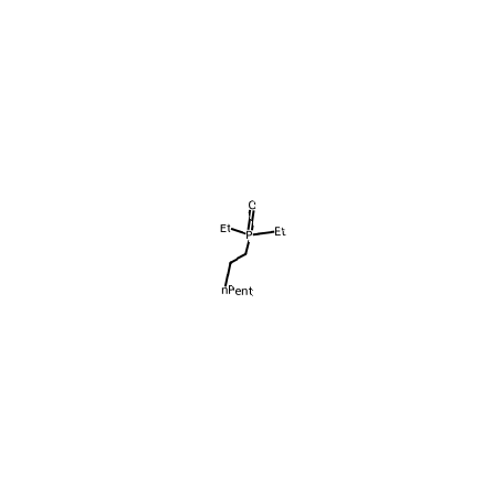 CCCCCCCP(=O)(CC)CC